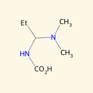 [CH2]CC(NC(=O)O)N(C)C